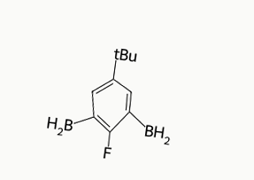 Bc1cc(C(C)(C)C)cc(B)c1F